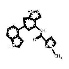 Cn1ccc(C(=O)Nc2cc(-c3cccc4[nH]ccc34)cc3[nH]ncc23)n1